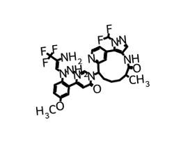 COc1ccc(N(N)/C=C(\N)C(F)(F)F)c(-c2cc(=O)n(C3CCCC(C)C(=O)Nc4cnn(C(F)F)c4-c4ccnc3c4)cn2)c1